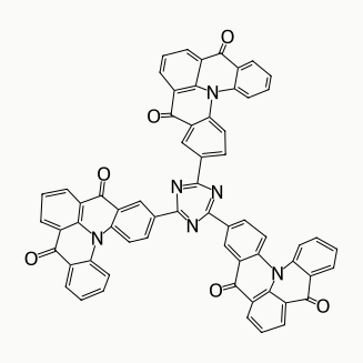 O=c1c2ccccc2n2c3ccc(-c4nc(-c5ccc6c(c5)c(=O)c5cccc7c(=O)c8ccccc8n6c75)nc(-c5ccc6c(c5)c(=O)c5cccc7c(=O)c8ccccc8n6c75)n4)cc3c(=O)c3cccc1c32